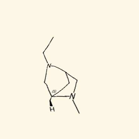 CCN1C[C@@H]2CC1CN2C